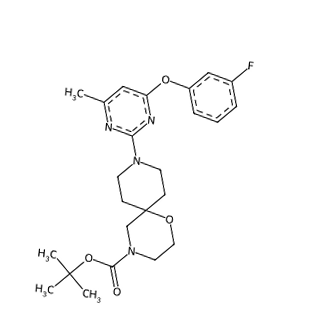 Cc1cc(Oc2cccc(F)c2)nc(N2CCC3(CC2)CN(C(=O)OC(C)(C)C)CCO3)n1